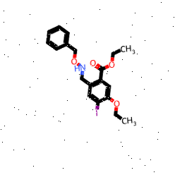 CCOC(=O)c1cc(OCC)c(I)cc1CNOCc1ccccc1